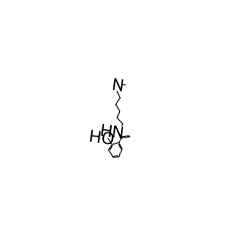 C=C(NCCCCCCN(C)C)c1ccccc1O